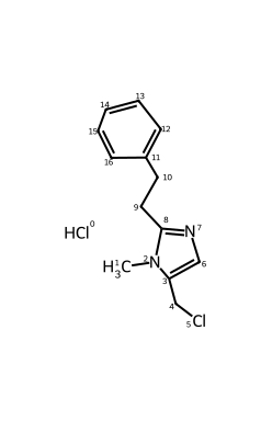 Cl.Cn1c(CCl)cnc1CCc1ccccc1